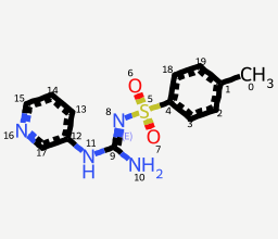 Cc1ccc(S(=O)(=O)/N=C(\N)Nc2cccnc2)cc1